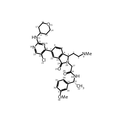 CNCCC1c2ccc(-c3nc(NC4CCOCC4)ncc3Cl)cc2C(=O)N1CC(=O)N[C@H](C)c1cccc(OC)c1